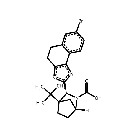 CC(C)(C)[C@]12CC[C@H](C1)N(C(=O)O)[C@@H]2c1nc2c([nH]1)-c1ccc(Br)cc1CC2